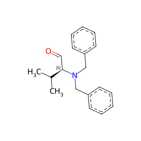 CC(C)[C@@H](C=O)N(Cc1ccccc1)Cc1ccccc1